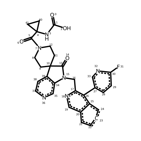 O=C(O)NC1(C(=O)N2CCC3(CC2)C(=O)N(Cc2ncc4ccccc4c2-c2ccc(F)nc2)c2cnccc23)CC1